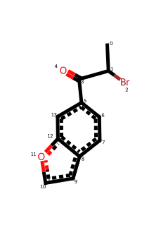 CC(Br)C(=O)c1ccc2ccoc2c1